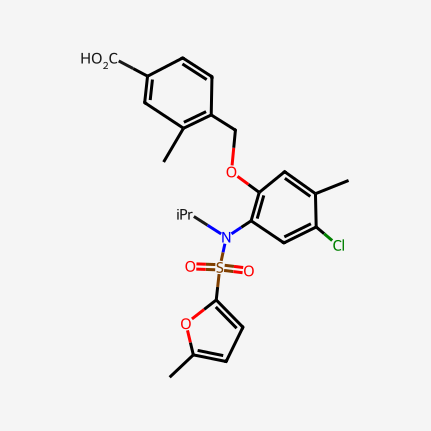 Cc1ccc(S(=O)(=O)N(c2cc(Cl)c(C)cc2OCc2ccc(C(=O)O)cc2C)C(C)C)o1